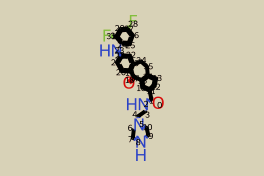 O=C(NCCN1CCNCC1)c1ccc2c(c1)C(=O)c1ccc(Nc3ccc(F)cc3F)cc1CC2